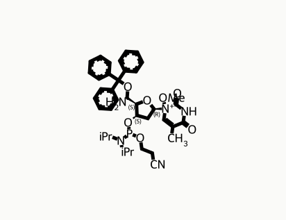 CO[N+]1([C@H]2C[C@H](OP(OCCC#N)N(C(C)C)C(C)C)[C@@H](C(N)OC(c3ccccc3)(c3ccccc3)c3ccccc3)O2)C=C(C)C(=O)NC1=O